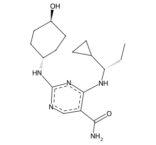 CC[C@H](Nc1nc(N[C@H]2CC[C@H](O)CC2)ncc1C(N)=O)C1CC1